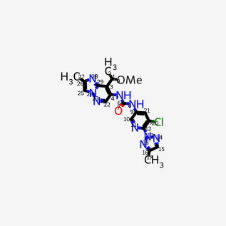 COC(C)c1c(NC(=O)Nc2cnc(-n3ncc(C)n3)c(Cl)c2)cnn2cc(C)nc12